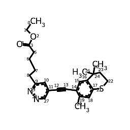 CCOC(=O)CCCCc1cc(C#Cc2cc3c(cc2C)SCCC3(C)C)cnn1